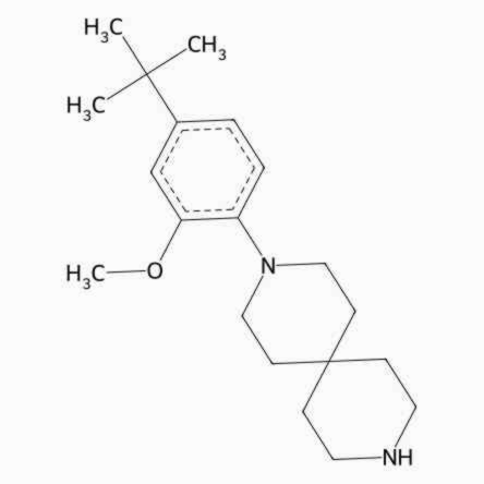 COc1cc(C(C)(C)C)ccc1N1CCC2(CCNCC2)CC1